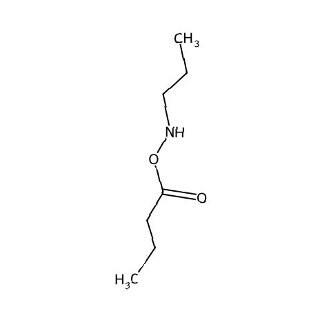 CCCNOC(=O)CCC